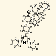 c1ccc(-c2nc(-c3ccccc3)nc(-c3ccc(-c4ccc5c(c4)C4(c6cc(-c7ccncc7)ccc6O5)c5ccccc5-c5ccccc54)cc3)n2)cc1